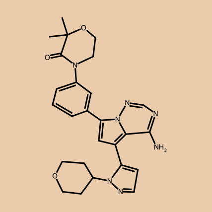 CC1(C)OCCN(c2cccc(-c3cc(-c4ccnn4C4CCOCC4)c4c(N)ncnn34)c2)C1=O